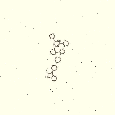 CCC1Nc2ccccc2N1c1ccc(-c2ccc(-c3ccccc3-c3ccccc3C3=NC(c4ccccc4)NC(c4ccccc4)=N3)cc2)cc1